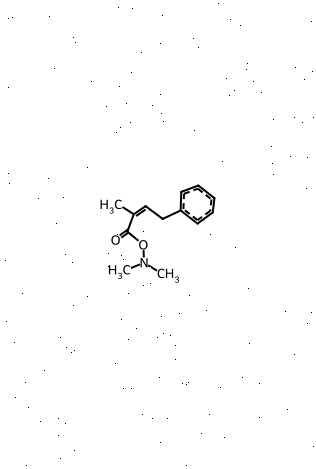 CC(=CCc1ccccc1)C(=O)ON(C)C